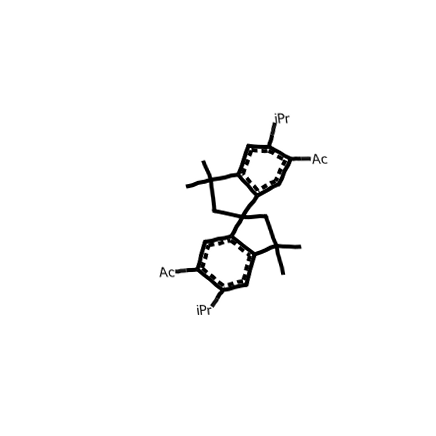 CC(=O)c1cc2c(cc1C(C)C)C(C)(C)CC21CC(C)(C)c2cc(C(C)C)c(C(C)=O)cc21